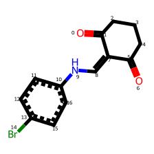 O=C1CCCC(=O)C1=CNc1ccc(Br)cc1